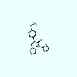 CSc1ccc(C(=CC2CCCC2)C(=O)Nc2nccs2)cn1